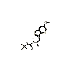 COc1cnc2c(ccn2C[C@@H](C)NC(=O)OC(C)(C)C)c1